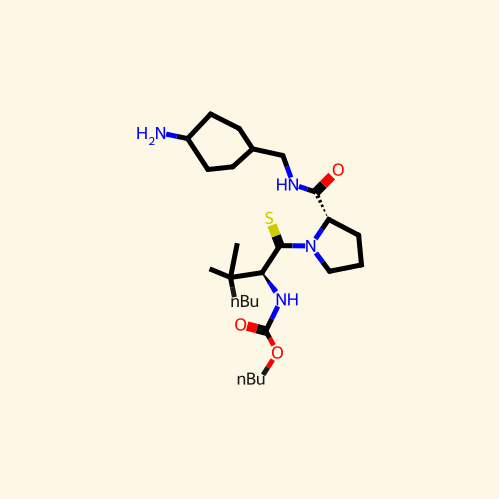 CCCCOC(=O)N[C@H](C(=S)N1CCC[C@H]1C(=O)NCC1CCC(N)CC1)C(C)(C)CCCC